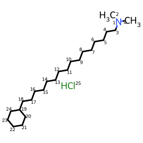 CN(C)CCCCCCCCCCCCCCCCC1CCCCC1.Cl